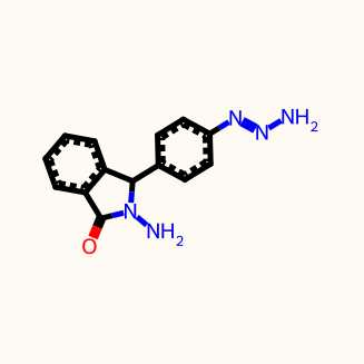 NN=Nc1ccc(C2c3ccccc3C(=O)N2N)cc1